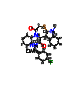 COc1cccc(N2C(=O)CSc3c(c4ccccc4n3C)C2C(=O)NCc2ccc(F)cc2)c1